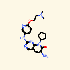 CN(C)CCOc1ccc(Nc2ncc3cc(N)c(=O)n(C4CCCC4)c3n2)cn1